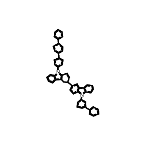 C1=CC(c2ccc3c(c2)c2ccccc2n3-c2cccc(-c3ccccc3)c2)Cc2c1n(-c1ccc(-c3ccc(-c4ccccc4)cc3)cc1)c1ccccc21